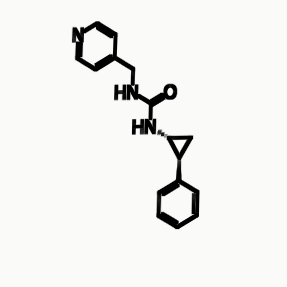 O=C(NCc1ccncc1)N[C@@H]1C[C@H]1c1ccccc1